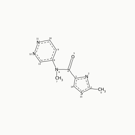 Cc1nc(C(=O)N(C)c2ccnnc2)cs1